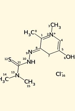 CC1=[N+](C)C=C(O)CC1=NNC(=S)N(C)C.[Cl-]